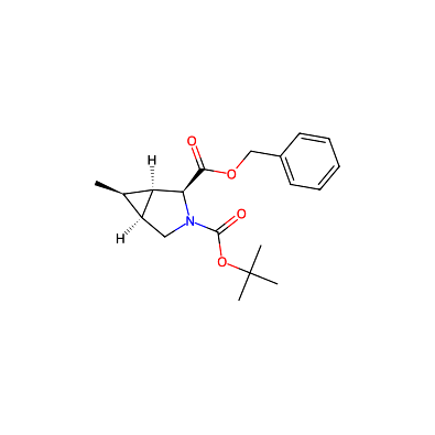 C[C@@H]1[C@@H]2CN(C(=O)OC(C)(C)C)[C@H](C(=O)OCc3ccccc3)[C@H]12